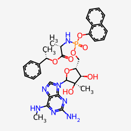 CNc1nc(N)nc2c1ncn2C1O[C@H](COP(=O)(N[C@@H](C)C(=O)O[C@@H](C)c2ccccc2)Oc2cccc3ccccc23)[C@@H](O)[C@@]1(C)O